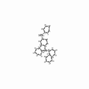 c1ccc(Nc2ccc3c(c2)c2ccccc2n3-c2cccc3ccccc23)cc1